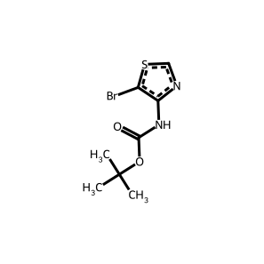 CC(C)(C)OC(=O)Nc1ncsc1Br